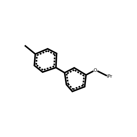 Cc1ccc(-c2cccc(OC(C)C)c2)cc1